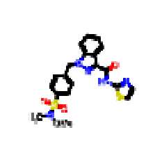 CON(C)S(=O)(=O)c1ccc(Cn2nc(C(=O)Nc3nccs3)c3ccccc32)cc1